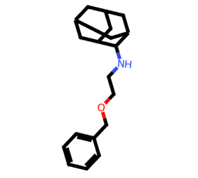 c1ccc(COCCNC2C3CC4CC(C3)CC2C4)cc1